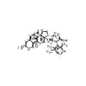 CC(CC(C(=O)O)C1C2(C)CCC(C2)C1(C)C)[C@H]1CC[C@H]2[C@@H]3CC=C4C[C@@H](O)CC[C@]4(C)[C@H]3CC[C@]12C